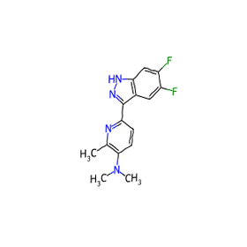 Cc1nc(-c2n[nH]c3cc(F)c(F)cc23)ccc1N(C)C